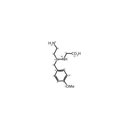 COc1ccc(CN(CCN)NCC(=O)O)cc1